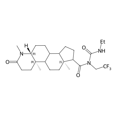 CCNC(=O)N(CC(F)(F)F)C(=O)C1CCC2C3CC[C@H]4N(C)C(=O)CC[C@]4(C)C3CC[C@]12C